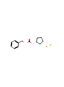 CS(=O)(=O)O[C@H]1CC[C@H](NC(=O)OCc2ccccc2)C1